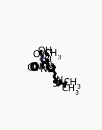 CO/C(=C\c1c(N2CCOCC2)nc2cc(CCc3nc(C(C)C)cs3)ccn2c1=O)C(=O)O